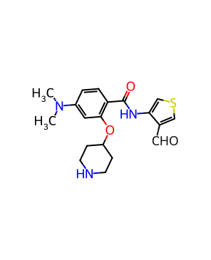 CN(C)c1ccc(C(=O)Nc2cscc2C=O)c(OC2CCNCC2)c1